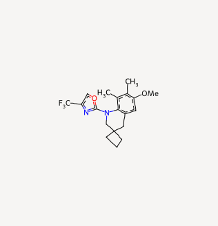 COc1cc2c(c(C)c1C)N(c1nc(C(F)(F)F)co1)CC1(CCC1)C2